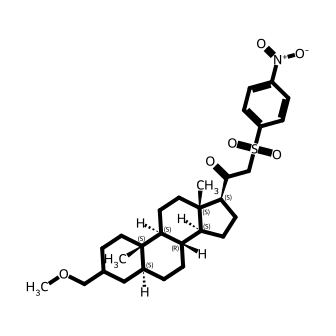 COCC1CC[C@@]2(C)[C@@H](CC[C@@H]3[C@@H]2CC[C@]2(C)[C@@H](C(=O)CS(=O)(=O)c4ccc([N+](=O)[O-])cc4)CC[C@@H]32)C1